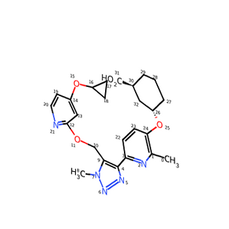 Cc1nc(-c2nnn(C)c2COc2cc(OC3CC3)ccn2)ccc1O[C@H]1CCC[C@H](C(=O)O)C1